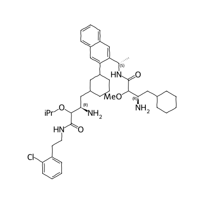 COC(C(=O)N[C@@H](C)c1cc2ccccc2cc1C1CCCC(C[C@@H](N)C(OC(C)C)C(=O)NCCc2ccccc2Cl)C1)[C@H](N)CC1CCCCC1